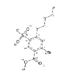 CCCCCc1cc(Br)c(C(=O)OC)cc1S(C)(=O)=O